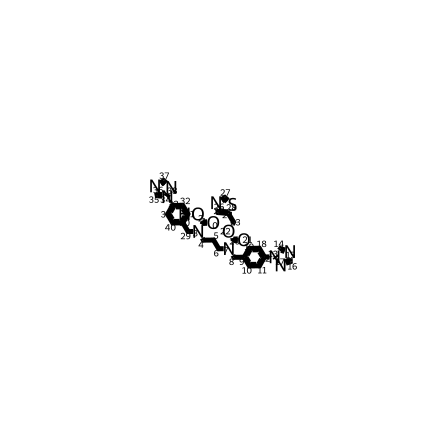 O=C(O)N(CCCN(Cc1ccc(-n2cncn2)cc1)C(=O)OCc1cncs1)Cc1ccc(-n2cncn2)cc1